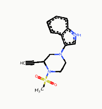 C#CC1CN(c2c[nH]c3ccccc23)CCN1S(C)(=O)=O